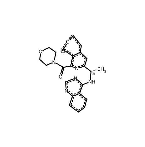 C[C@H](Nc1ncnc2ccccc12)c1cc2cccc(Cl)c2c(C(=O)N2CCOCC2)n1